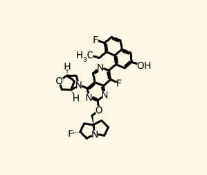 CCc1c(F)ccc2cc(O)cc(-c3ncc4c(N5C[C@H]6C[C@@H]5CO6)nc(OC[C@@]56CCCN5C[C@H](F)C6)nc4c3F)c12